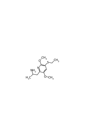 CCSc1cc(OC)c(CC(C)N)nc1OC